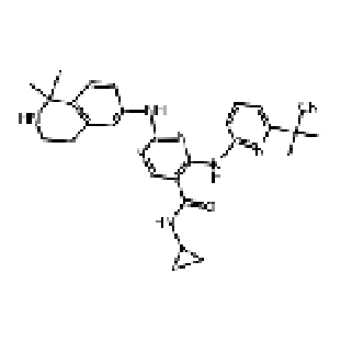 CC(C)(C#N)c1cccc(Nc2nc(Nc3ccc4c(c3)CCNC4(C)C)ncc2C(=O)NC2CC2)n1